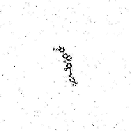 CS(=O)(=O)N1CCN(CCCOc2ccc(Nc3ncnc4c3CCN(c3ccc(I)c(C(F)(F)F)c3)C4)cc2Cl)CC1